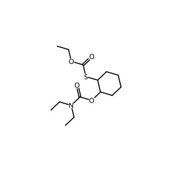 CCOC(=O)SC1CCCCC1OC(=O)N(CC)CC